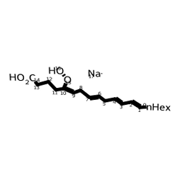 CCCCCCC=CC=CCC=CCC=C(CCCC(=O)O)OO.[Na]